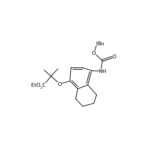 CCOC(=O)C(C)(C)Oc1ccc(NC(=O)OC(C)(C)C)c2c1CCCC2